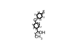 CCC(O)c1ccc(Oc2ccc(F)cc2)nc1